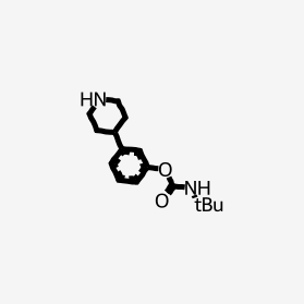 CC(C)(C)NC(=O)Oc1cccc(C2CCNCC2)c1